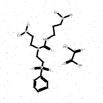 CCN(CC)CCCNC(=S)N(CCN(CC)CC)CCS(=O)(=O)c1ccccc1.O=C(O)C(=O)O